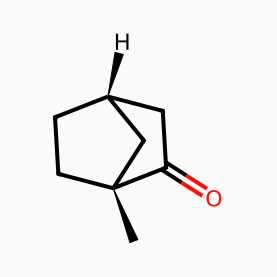 C[C@]12CC[C@H](CC1=O)C2